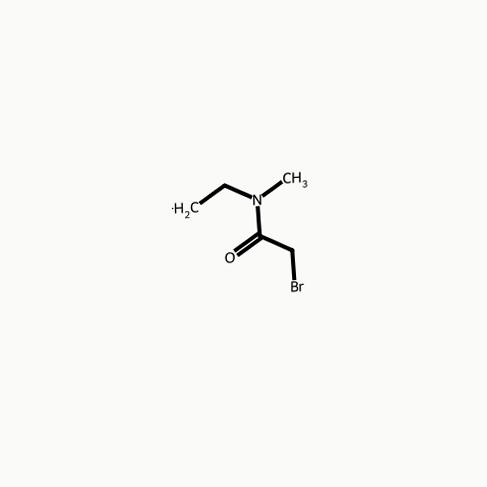 [CH2]CN(C)C(=O)CBr